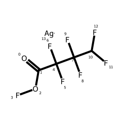 O=C(OF)C(F)(F)C(F)(F)C(F)F.[Ag]